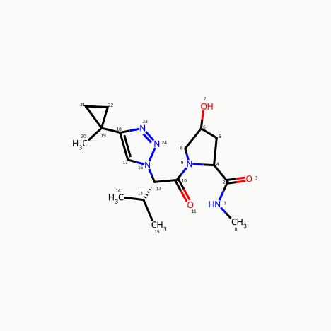 CNC(=O)C1CC(O)CN1C(=O)[C@H](C(C)C)n1cc(C2(C)CC2)nn1